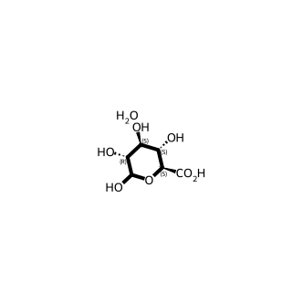 O.O=C(O)[C@H]1OC(O)[C@H](O)[C@@H](O)[C@@H]1O